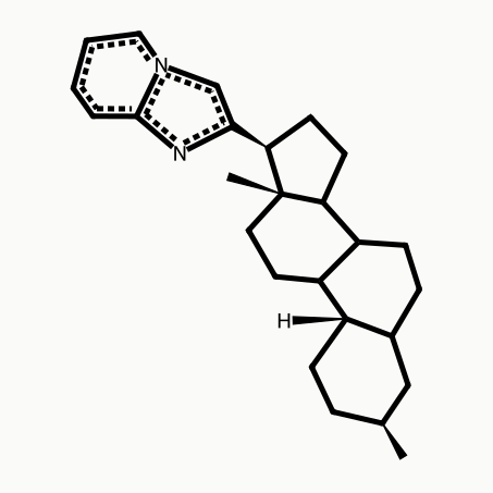 C[C@H]1CC[C@H]2C(CCC3C2CC[C@@]2(C)C3CC[C@@H]2c2cn3ccccc3n2)C1